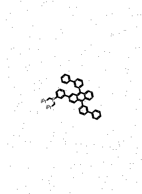 CC(C)CP(CC(C)C)c1cccc(-c2ccc3c(-c4cccc(-c5ccccc5)c4)c4ccccc4c(-c4cccc(-c5ccccc5)c4)c3c2)c1